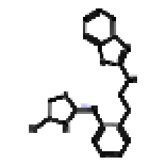 CCC1CS/C(=N/c2ccccc2CCNc2nc3ccccc3s2)N1